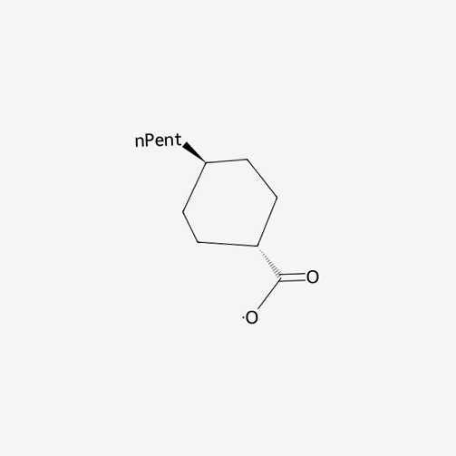 CCCCC[C@H]1CC[C@H](C([O])=O)CC1